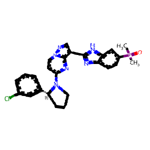 CP(C)(=O)c1ccc2nc(-c3cnn4ccc(N5CCC[C@@H]5c5cccc(Cl)c5)nc34)[nH]c2c1